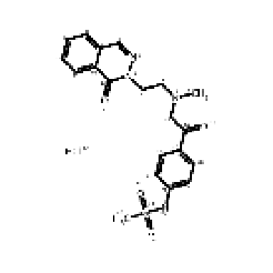 CN(CCn1ncc2ccccc2c1=O)CC(=O)c1ccc(NS(C)(=O)=O)cc1.Cl